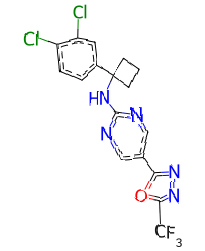 FC(F)(F)c1nnc(-c2cnc(NC3(c4ccc(Cl)c(Cl)c4)CCC3)nc2)o1